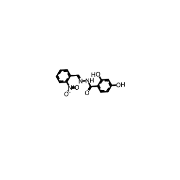 O=C(N/N=C/c1ccccc1[N+](=O)[O-])c1ccc(O)cc1O